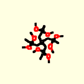 CO[Si](C)(C[Si](C[Si](C)(OC)OC)(C[Si](C)(OC)OC)C[Si](C)(OC)OC)OC